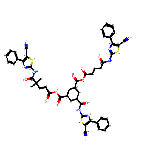 CC(C)(CCC(=O)OC(=O)C1CC(C(=O)Nc2nc(-c3ccccc3)c(C#N)s2)CC(C(=O)OC(=O)CCCC(=O)Nc2nc(-c3ccccc3)c(C#N)s2)C1)C(=O)Nc1nc(-c2ccccc2)c(C#N)s1